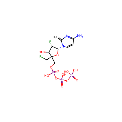 C=C1N=C(N)C=CN1[C@@H]1O[C@](CF)(COP(=O)(O)OP(=O)(O)OP(=O)(O)O)[C@@H](O)[C@@H]1F